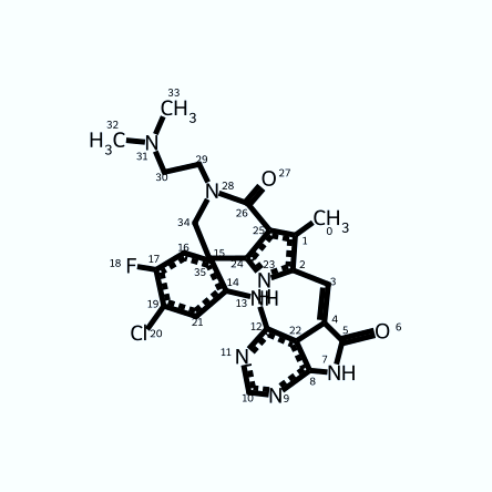 Cc1c(/C=C2/C(=O)Nc3ncnc(Nc4ccc(F)c(Cl)c4)c32)[nH]c2c1C(=O)N(CCN(C)C)CC2